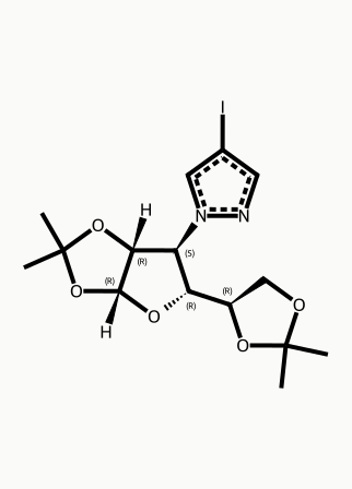 CC1(C)O[C@H]2O[C@@H]([C@H]3COC(C)(C)O3)[C@H](n3cc(I)cn3)[C@H]2O1